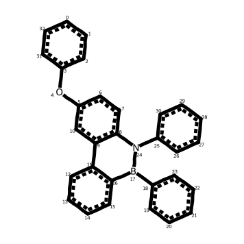 c1ccc(Oc2ccc3c(c2)-c2ccccc2B(c2ccccc2)N3c2ccccc2)cc1